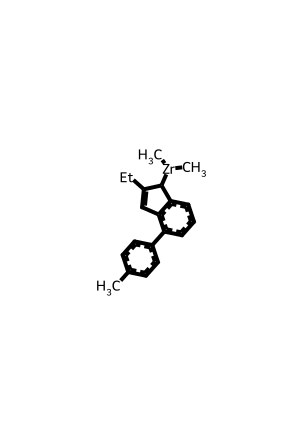 CCC1=Cc2c(-c3ccc(C)cc3)cccc2[CH]1[Zr]([CH3])[CH3]